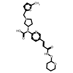 Cc1ccc(CN2CC[C@@H](N(C(=O)O)c3ccc(C=CC(=O)NOC4CCCCO4)cn3)C2)s1